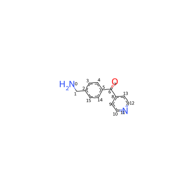 NCc1ccc(C(=O)c2ccncc2)cc1